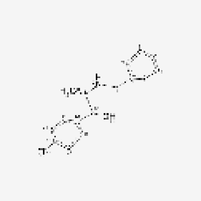 CC(NCc1ccccc1)C(O)c1ccc(Cl)cc1